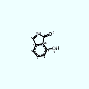 O=C1N=Cc2cccc(O)c21